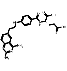 Nc1nc(N)c2cc(CCNc3ccc(C(=O)N[C@@H](CCC(=O)O)C(=O)O)cc3)ccc2n1